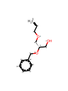 C=CCOC[C@H](CO)OCc1ccccc1